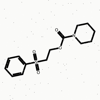 O=C(OCCS(=O)(=O)c1ccccc1)N1CCCCC1